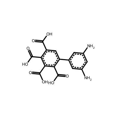 Nc1cc(N)cc(-c2cc(C(=O)O)c(C(=O)O)c(C(=O)O)c2C(=O)O)c1